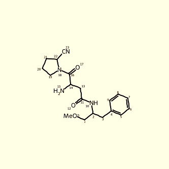 COCC(Cc1ccccc1)NC(=O)CC(N)C(=O)N1CCCC1C#N